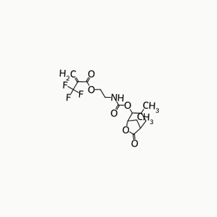 C=C(C(=O)OCCNC(=O)OC1C(C)CC2C(=O)OC1C2C)C(F)(F)F